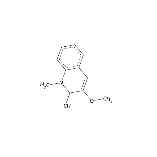 COC1=Cc2ccccc2N(C)C1C